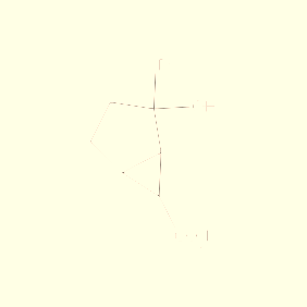 CC(C)C1(O)CCC2C(C(=O)O)C21